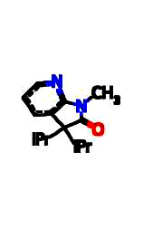 CC(C)C1(C(C)C)C(=O)N(C)c2ncccc21